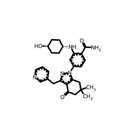 CC1(C)CC(=O)c2c(Cc3cccnc3)nn(-c3ccc(C(N)=O)c(N[C@H]4CC[C@H](O)CC4)c3)c2C1